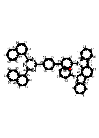 c1ccc(-n2c3ccccc3c3ccc4c5ccccc5n(-c5ccc(-c6ccc(-c7nc(-c8cccc9ccccc89)nc(-c8cccc9ccccc89)n7)cc6)cc5)c4c32)cc1